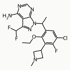 CCOc1c(C(C)n2nc(C(F)F)c3c(N)ncnc32)cc(Cl)c(F)c1C1CN(C)C1